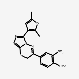 COc1ccc(C2=Nn3c(nnc3-c3cc(C)oc3C)SC2)cc1[N+](=O)[O-]